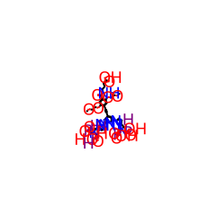 COCCOc1cc(C(=O)NCCCC(=O)O)c(OCCOC)cc1C#Cc1cc(-n2ccc(CN(C[PH](=O)O)C[PH](=O)O)n2)nc(-n2ccc(CN(C[PH](=O)O)CP(=O)(O)O)n2)c1